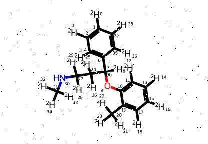 [2H]c1c([2H])c([2H])c([C@]([2H])(Oc2c([2H])c([2H])c([2H])c([2H])c2C([2H])([2H])[2H])C([2H])([2H])C([2H])([2H])NC([2H])([2H])[2H])c([2H])c1[2H]